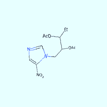 CCC(OC(C)=O)C(Cn1cncc1[N+](=O)[O-])OC(C)=O